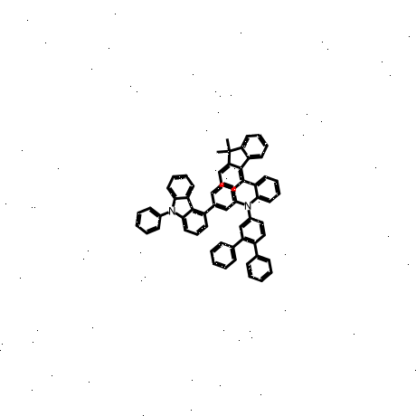 CC1(C)c2ccccc2-c2c(-c3ccccc3N(c3cccc(-c4cccc5c4c4ccccc4n5-c4ccccc4)c3)c3ccc(-c4ccccc4)c(-c4ccccc4)c3)cccc21